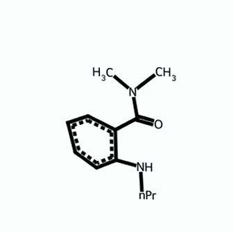 CCCNc1ccccc1C(=O)N(C)C